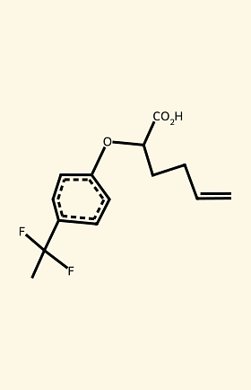 C=CCCC(Oc1ccc(C(C)(F)F)cc1)C(=O)O